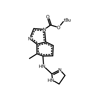 Cc1c(NC2=NCCN2)ccc2c1ncn2C(=O)OC(C)(C)C